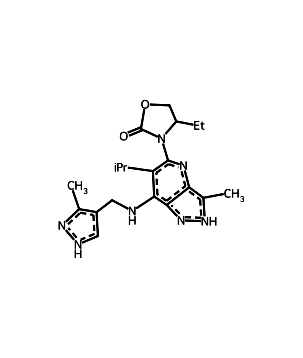 CCC1COC(=O)N1c1nc2c(C)[nH]nc2c(NCc2c[nH]nc2C)c1C(C)C